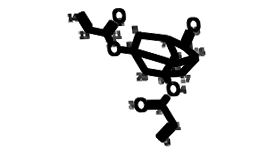 C=CC(=O)OC12CC3CC(OC(=O)C=C)(CC(C1)C3=O)C2